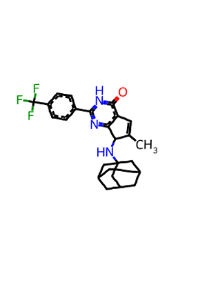 CC1=Cc2c(nc(-c3ccc(C(F)(F)F)cc3)[nH]c2=O)C1NC12CC3CC(CC(C3)C1)C2